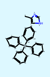 Cc1c[nH]cn1.c1ccc([B-](c2ccccc2)(c2ccccc2)c2ccccc2)cc1